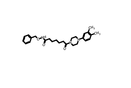 Cc1ccc(N2CCN(C(=O)CCCCCC(=O)NOCc3ccccc3)CC2)cc1C